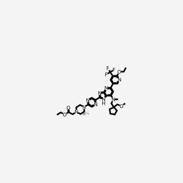 CCOC(=O)CN1CCN(c2cnc(-c3nc4nc(-c5cnc(OCC)c(C(F)(F)F)c5)cc(N(C)CC5(COC)CCCC5)c4[nH]3)cn2)[C@H](C)C1